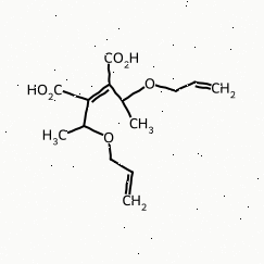 C=CCOC(C)/C(C(=O)O)=C(/C(=O)O)C(C)OCC=C